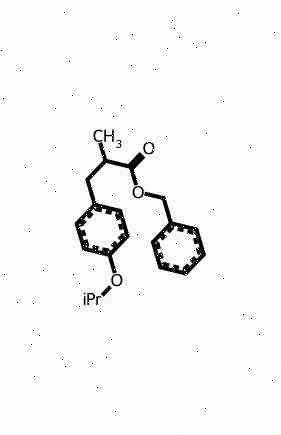 CC(C)Oc1ccc(CC(C)C(=O)OCc2ccccc2)cc1